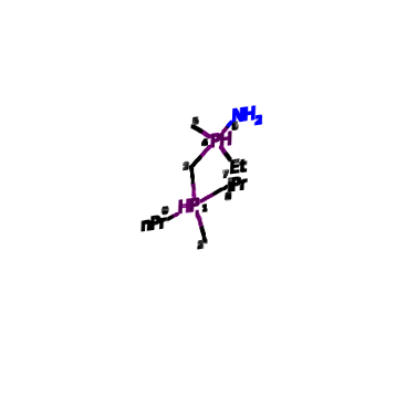 CCC[PH](C)(C[PH](C)(N)CC)C(C)C